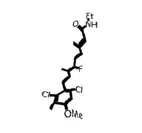 CCNC(=O)/C=C(C)/C=C/C(F)=C(C)/C=C/c1c(Cl)cc(OC)c(C)c1Cl